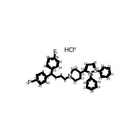 Cl.Fc1ccc(C(CCCN2CCC(C3=CC=S(c4ccccc4)N3c3ccccc3)CC2)c2ccc(F)cc2)cc1